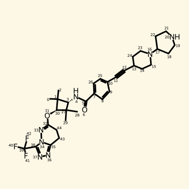 CC1(C)[C@H](NC(=O)c2ccc(C#CC3CCN(C4CCNCC4)CC3)cc2)C(C)(C)[C@H]1OC1=Nn2c(nnc2C(F)(F)F)CC1